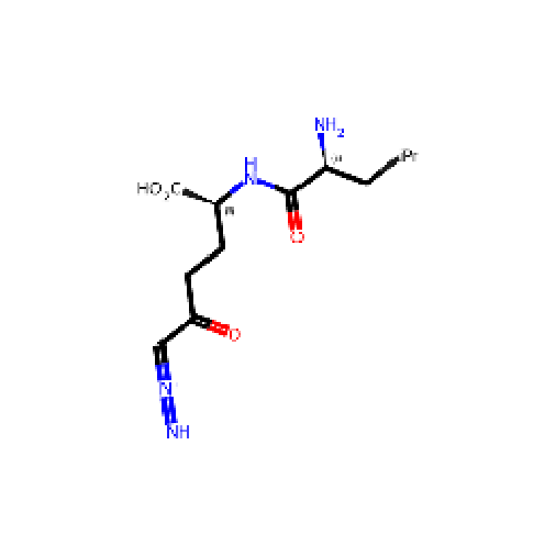 CC(C)C[C@H](N)C(=O)N[C@@H](CCC(=O)C=[N+]=N)C(=O)O